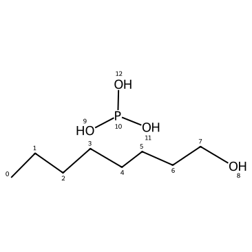 CCCCCCCCO.OP(O)O